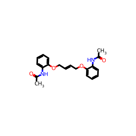 CC(=O)Nc1ccccc1OCC=CCOc1ccccc1NC(C)=O